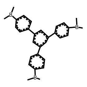 CB(C)c1ccc(-c2cc(-c3ccc(B(C)C)cc3)cc(-c3ccc(B(C)C)cc3)c2)cc1